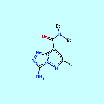 CCN(CC)C(=O)c1cc(Cl)nn2c(N)nnc12